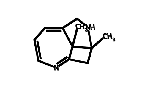 CC12CC3=NC=CC=C(CN1)C32C